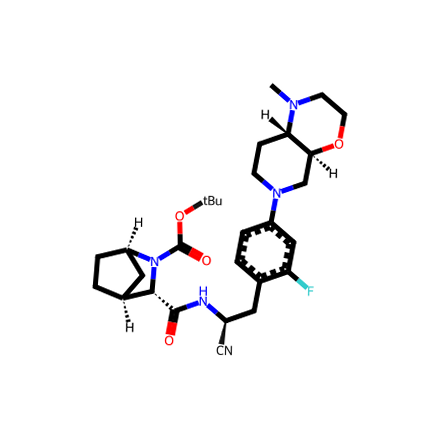 CN1CCO[C@H]2CN(c3ccc(C[C@@H](C#N)NC(=O)[C@@H]4[C@H]5CC[C@H](C5)N4C(=O)OC(C)(C)C)c(F)c3)CC[C@@H]21